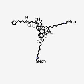 CCCCCCCCC/C=C/CCCCCCC(=O)O[C@@H]1CC[C@@]2(C)[C@@H](C1)[C@@H](C)[C@@H](OC(=O)CCCCCC/C=C/CCCCCCCCC)[C@@H]1[C@@H]2CC[C@]2(C)[C@@H]([C@H](C)CCC(=O)NCCCCN3CCCC3)CC[C@@H]12